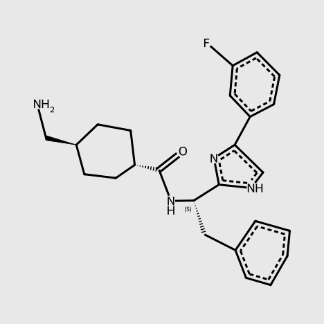 NC[C@H]1CC[C@H](C(=O)N[C@@H](Cc2ccccc2)c2nc(-c3cccc(F)c3)c[nH]2)CC1